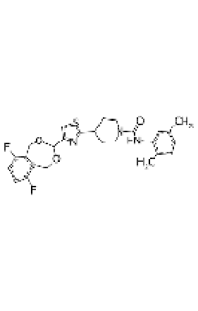 Cc1ccc(C)c(NC(=O)N2CCC(c3nc(C4OCc5c(F)ccc(F)c5CO4)cs3)CC2)c1